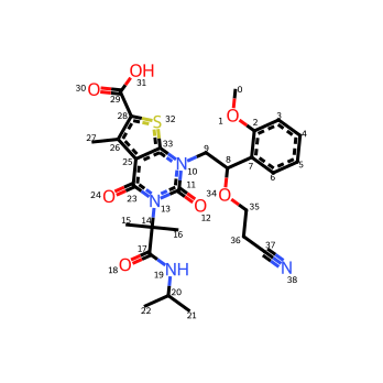 COc1ccccc1C(Cn1c(=O)n(C(C)(C)C(=O)NC(C)C)c(=O)c2c(C)c(C(=O)O)sc21)OCCC#N